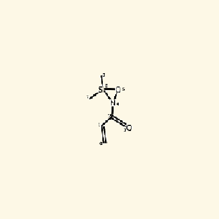 C=CC(=O)N1O[Si]1(C)C